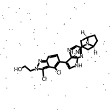 N[C@H]1C[C@H]2CC[C@@H](C1)N2c1cnc2c(-c3ccc4nn(CCO)c(Cl)c4c3Cl)c[nH]c2n1